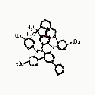 CC(C)(C)c1ccc(N2B3c4cc5c(cc4N(c4ccc(C(C)(C)C)cc4-c4ccccc4)c4cc(-c6ccccc6)cc(c43)-c3ccc(C(C)(C)C)cc32)-c2ccccc2C5(C)C)cc1